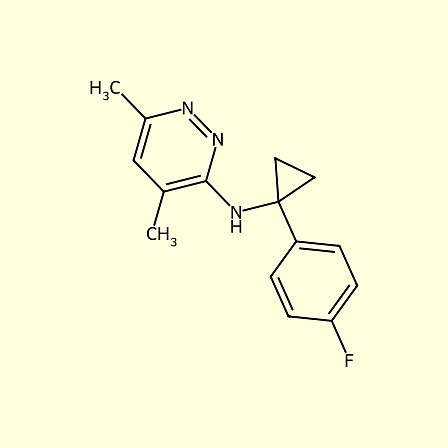 Cc1cc(C)c(NC2(c3ccc(F)cc3)CC2)nn1